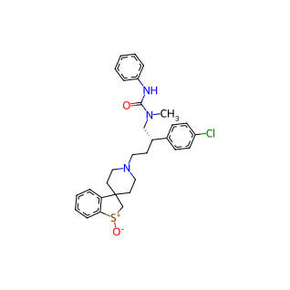 CN(C[C@@H](CCN1CCC2(CC1)C[S+]([O-])c1ccccc12)c1ccc(Cl)cc1)C(=O)Nc1ccccc1